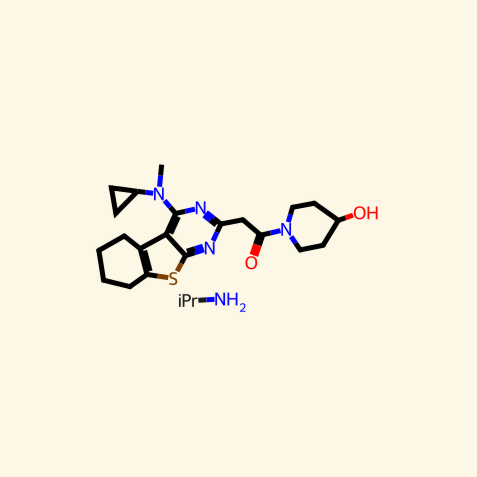 CC(C)N.CN(c1nc(CC(=O)N2CCC(O)CC2)nc2sc3c(c12)CCCC3)C1CC1